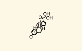 C[C@]12C=CC(=O)C=C1CC[C@@H]1[C@@H]2CC[C@]2(C)C(C(=O)C(O)O)=CC[C@@H]12